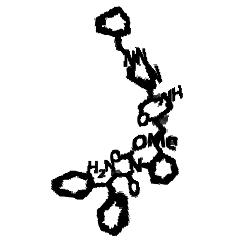 COC(=O)N(C(=O)[C@@H](N)C(c1ccccc1)c1ccccc1)c1ccccc1CC[C@@H]1CN[C@H](c2cn(Cc3ccccc3)nn2)CO1